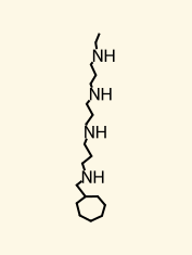 CCNCCCNCCCNCCCNCC1CCCCCC1